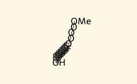 COCCOCCOCCOCCOCC(F)(F)C(F)(F)C(F)(F)C(F)(F)C(F)(F)C(F)(F)C(F)(F)C(F)(F)CO